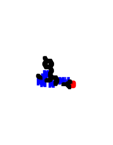 Cc1ccc(Cc2nn3c(C)nnc3c3ncc(NCC4COC4)cc23)cc1